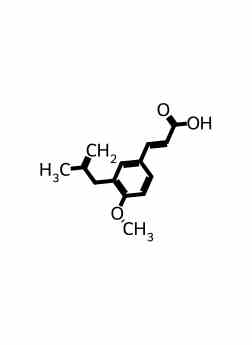 C=C(C)Cc1cc(C=CC(=O)O)ccc1OC